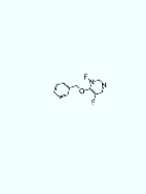 FC1=C(OCc2ccccc2)N(F)CN=C1